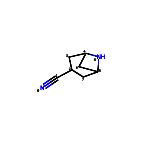 N#CC1CC2CC(C1)N2